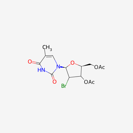 CC(=O)OC[C@@H]1O[C@H](n2cc(C)c(=O)[nH]c2=O)C(Br)C1OC(C)=O